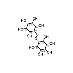 O[C@@H]1[C@@H](O)[C@H](O)[C@@H](OO[C@H]2[C@H](O)[C@H](O)[C@H](O)[C@@H](O)[C@@H]2O)[C@H](O)[C@H]1O